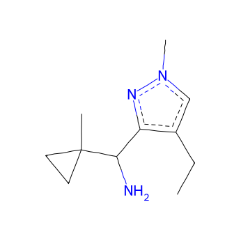 CCc1cn(C)nc1C(N)C1(C)CC1